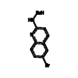 Brc1ccc2nc([NH][RaH])ccc2c1